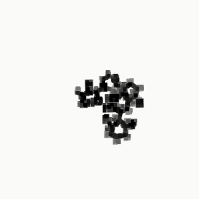 CC(=N)NC(=O)N1CCO[C@H]([C@]23CC[C@H](C2)/C(=C/C(=N)c2c(F)cccc2F)C3=N)C1